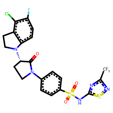 O=C1[C@@H](N2CCc3c2ccc(F)c3Cl)CCN1c1ccc(S(=O)(=O)Nc2nc(C(F)(F)F)ns2)cc1